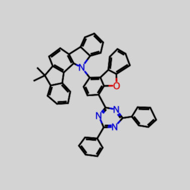 CC1(C)c2ccccc2-c2c1ccc1c3ccccc3n(-c3ccc(-c4nc(-c5ccccc5)nc(-c5ccccc5)n4)c4oc5ccccc5c34)c21